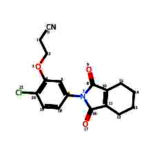 N#CCCOc1cc(N2C(=O)C3=C(CCCC3)C2=O)ccc1Cl